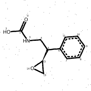 O=C(O)NCC(c1ccccc1)[C@H]1CO1